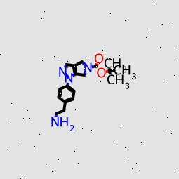 CC(C)(C)OC(=O)N1Cc2cnn(-c3ccc(CCN)cc3)c2C1